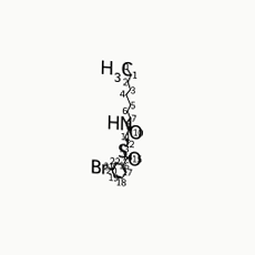 CCCCCCCCNC(=O)C=CSC(=O)c1cccc(Br)c1